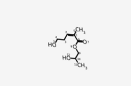 CC(=CCCO)C(=O)OCC(C)O